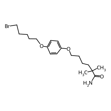 CC(C)(CCCCOc1ccc(OCCCCCBr)cc1)C(N)=O